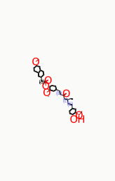 C=CC(/C=C/c1ccc(O)c(OC)c1)=C\C(=O)/C=C/c1ccc(OC(=O)[C@@H](C)c2ccc3cc(OC)ccc3c2)c(OC)c1